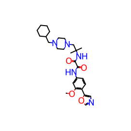 COc1cc(NC(=O)C(=O)NC(C)(C)CN2CCN(CC3CCCCC3)CC2)ccc1-c1cnco1